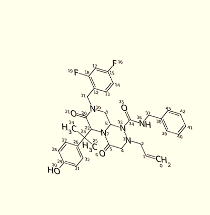 C=CCN1CC(=O)N2C(CN(Cc3ccc(F)cc3F)C(=O)C2C(C)(C)c2ccc(O)cc2)N1C(=O)NCc1ccccc1